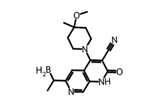 BC(C)c1cc2c(N3CCC(C)(OC)CC3)c(C#N)c(=O)[nH]c2cn1